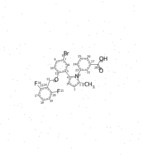 Cc1ccc(-c2cc(Br)ccc2OCc2c(F)cccc2F)n1-c1cccc(C(=O)O)c1